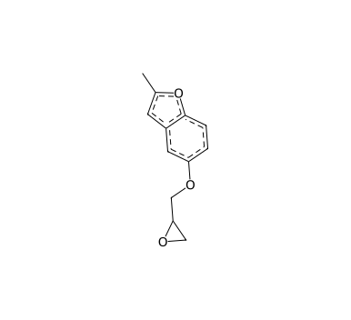 Cc1cc2cc(OCC3CO3)ccc2o1